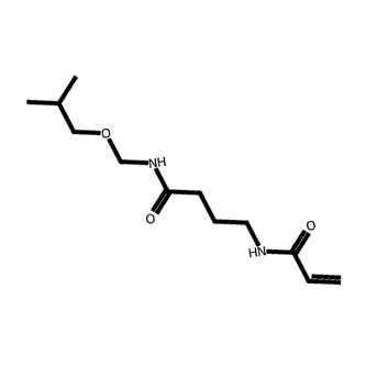 C=CC(=O)NCCCC(=O)NCOCC(C)C